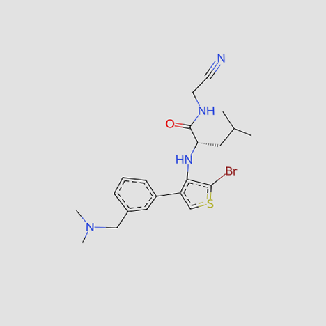 CC(C)C[C@H](Nc1c(-c2cccc(CN(C)C)c2)csc1Br)C(=O)NCC#N